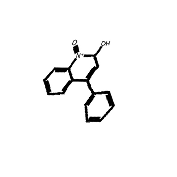 O=[N+]1c2ccccc2C(c2ccccc2)=CC1O